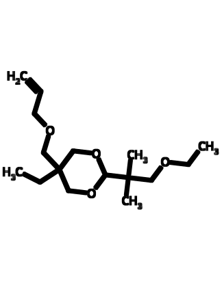 C=CCOCC1(CC)COC(C(C)(C)COCC)OC1